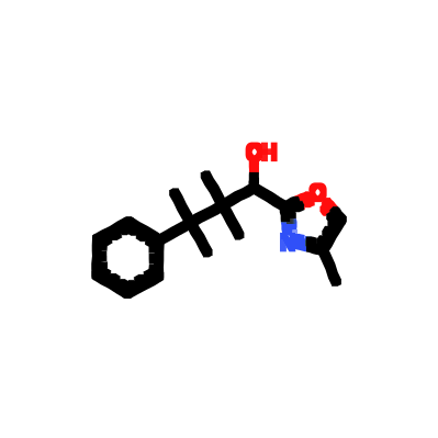 Cc1coc(C(O)C(C)(C)C(C)(C)c2ccccc2)n1